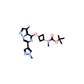 Cn1cc(-c2cn3ncc(I)c3c(O[C@H]3C[C@@H](N(C)C(=O)OC(C)(C)C)C3)n2)cn1